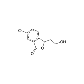 O=C1OC(CCO)c2ccc(Cl)cc21